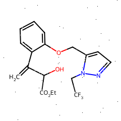 C=C(c1ccccc1OCc1ccnn1CC(F)(F)F)C(O)C(=O)OCC